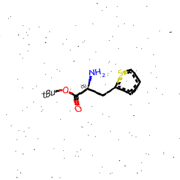 CC(C)(C)OC(=O)[C@@H](N)Cc1cccs1